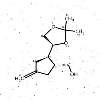 C=C1C[C@@H](CO)[C@H]([C@H]2COC(C)(C)O2)C1